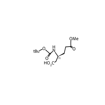 COC(=O)CC[C@@H](CC(=O)O)NC(=O)OC(C)(C)C